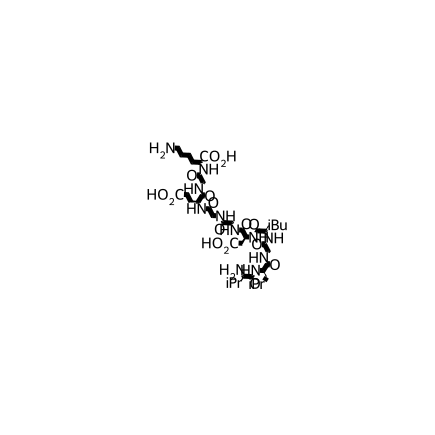 CCC(C)[C@H](NC(=O)CNC(=O)[C@H](CC(C)C)NC(=O)[C@@H](N)C(C)C)C(=O)N[C@@H](CC(=O)O)C(=O)NCC(=O)NCC(=O)N[C@@H](CCC(=O)O)C(=O)NCC(=O)N[C@@H](CCCCN)C(=O)O